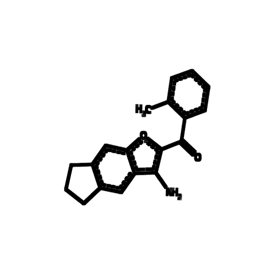 Cc1ccccc1C(=O)c1oc2cc3c(cc2c1N)CCC3